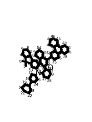 CC1(C)c2ccccc2-c2ccc(N(c3ccc(-c4ccccc4)cc3)c3cccc4oc5c(-c6ccc7c8ccccc8c8ccccc8c7c6)c6ccccc6cc5c34)cc21